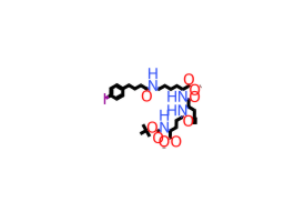 C#CCC(NC(=O)CCC(NC(=O)OC(C)(C)C)C(=O)OC)C(=O)NC(CCCCNC(=O)CCCc1ccc(I)cc1)C(=O)OC